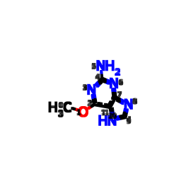 COc1nc(N)nc2n[c][nH]c12